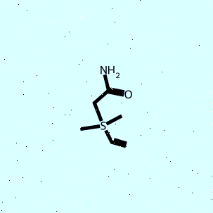 C=CS(C)(C)CC(N)=O